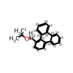 CC(C)O[SiH2]c1cccc2c3ccccc3c3ccccc3c12